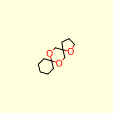 C1CCC2(CC1)OCC1(CCCO1)CO2